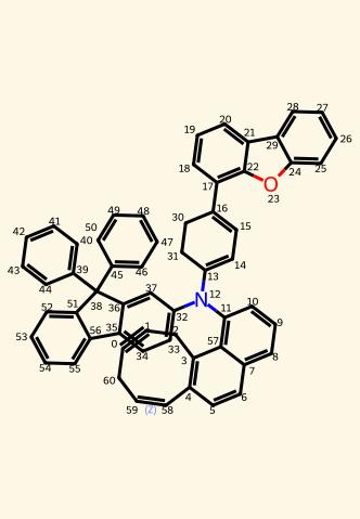 C1#CCc2c(ccc3cccc(N(C4=CC=C(c5cccc6c5oc5ccccc56)CC4)c4ccc5c(c4)C(c4ccccc4)(c4ccccc4)c4ccccc4-5)c23)/C=C\C1